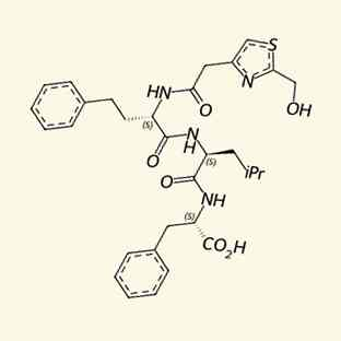 CC(C)C[C@H](NC(=O)[C@H](CCc1ccccc1)NC(=O)Cc1csc(CO)n1)C(=O)N[C@@H](Cc1ccccc1)C(=O)O